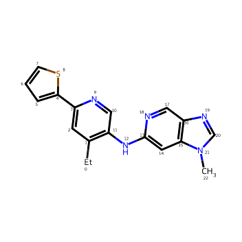 CCc1cc(-c2cccs2)ncc1Nc1cc2c(cn1)ncn2C